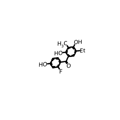 CCc1cc(C(=O)c2ccc(O)cc2F)c(O)c(C)c1O